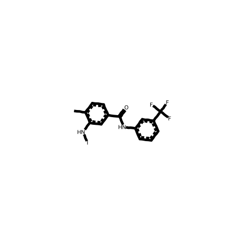 Cc1ccc(C(=O)Nc2cccc(C(F)(F)F)c2)cc1NI